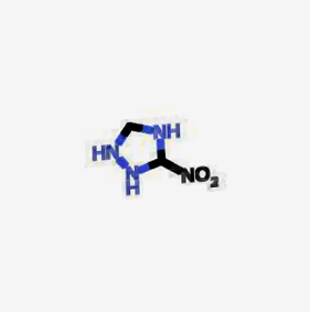 O=[N+]([O-])C1NCNN1